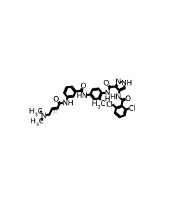 Cc1cc(NC(=O)c2cccc(NC(=O)/C=C/CN(C)C)c2)ccc1NC(=O)c1n[nH]cc1NC(=O)c1c(Cl)cccc1Cl